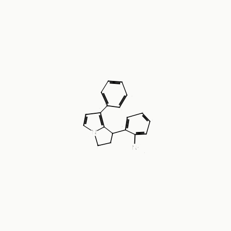 O=[N+]([O-])c1ccccc1C1CCn2ccc(-c3ccccc3)c21